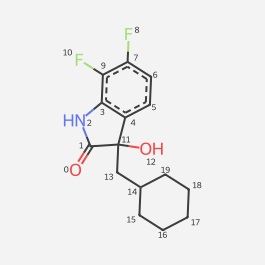 O=C1Nc2c(ccc(F)c2F)C1(O)CC1CCCCC1